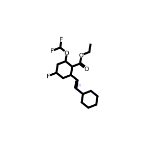 CCOC(=O)C1C(/C=C/C2CCCCC2)CC(F)CC1OC(F)F